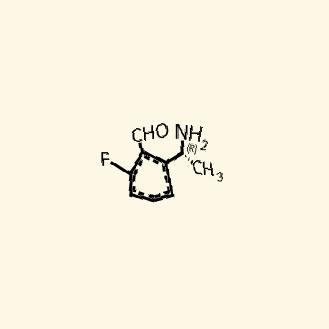 C[C@@H](N)c1cccc(F)c1C=O